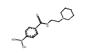 O=C(NCCN1CCCCC1)c1ccc(B(O)O)cc1